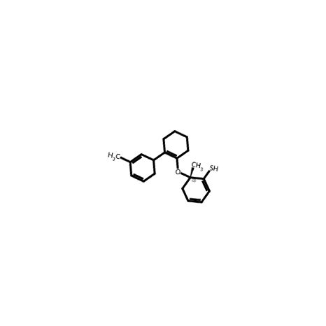 CC1=CC(C2=C(O[C@@]3(C)CC=CC=C3S)CCCC2)CC=C1